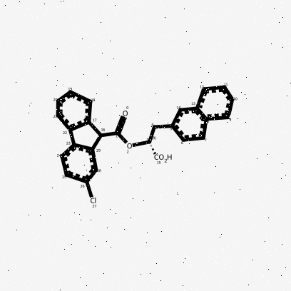 O=C(O[C@H](Cc1ccc2ccccc2c1)C(=O)O)C1c2ccccc2-c2ccc(Cl)cc21